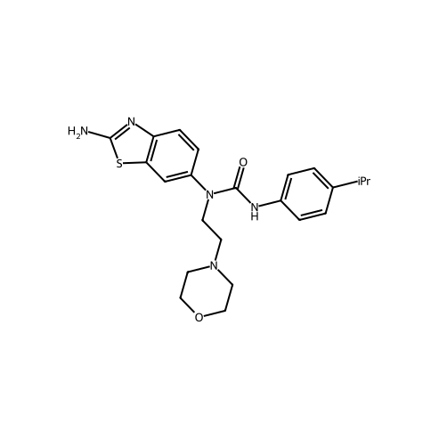 CC(C)c1ccc(NC(=O)N(CCN2CCOCC2)c2ccc3nc(N)sc3c2)cc1